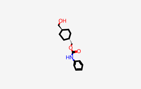 O=C(Nc1ccccc1)OC[C@H]1CC[C@H](CO)CC1